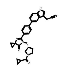 N#CCc1c[nH]c2ccc(-c3ccc(C4=NC5(CC5)C(=O)N4C[C@@H]4CCN(C(=O)C5CC5)C4)cc3)cc12